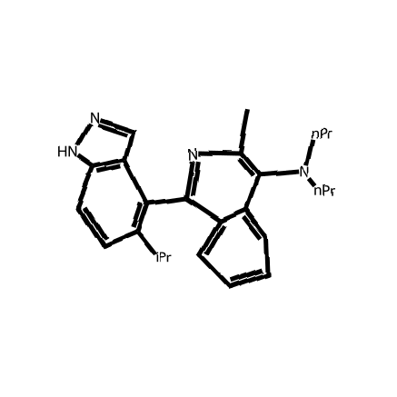 CCCN(CCC)c1c(C)nc(-c2c(C(C)C)ccc3[nH]ncc23)c2ccccc12